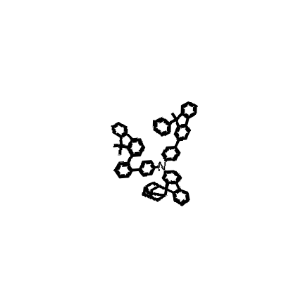 CC1(C)c2ccccc2-c2cccc(-c3ccccc3-c3ccc(N(c4ccc(-c5ccc6c(c5)C(C)(c5ccccc5)c5ccccc5-6)cc4)c4ccc5c(c4)C4(c6ccccc6-5)C5CC6CC(C5)CC4C6)cc3)c21